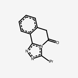 CC(C)c1nnc2n1C(=O)Cc1ccccc1-2